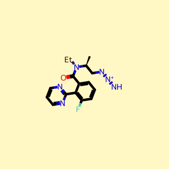 CCN(C(=O)c1cccc(F)c1-c1ncccn1)[C@@H](C)CN=[N+]=N